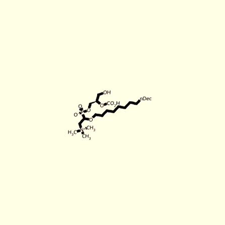 CCCCCCCCCCCCCCCCCCOC(C[N+](C)(C)C)P(=O)([O-])OC[C@@H](CO)OC(=O)O